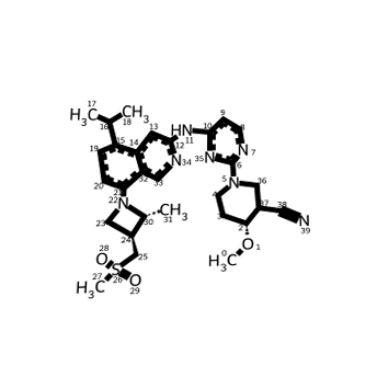 CO[C@@H]1CCN(c2nccc(Nc3cc4c(C(C)C)ccc(N5C[C@H](CS(C)(=O)=O)[C@H]5C)c4cn3)n2)CC1C#N